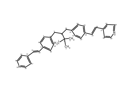 CC(C)(C)C(Cc1ccc(/C=C/c2ccncc2)cc1)Cc1ccc(/C=C/c2ccncc2)cc1